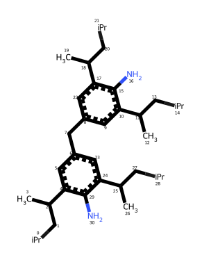 CC(C)CC(C)c1cc(Cc2cc(C(C)CC(C)C)c(N)c(C(C)CC(C)C)c2)cc(C(C)CC(C)C)c1N